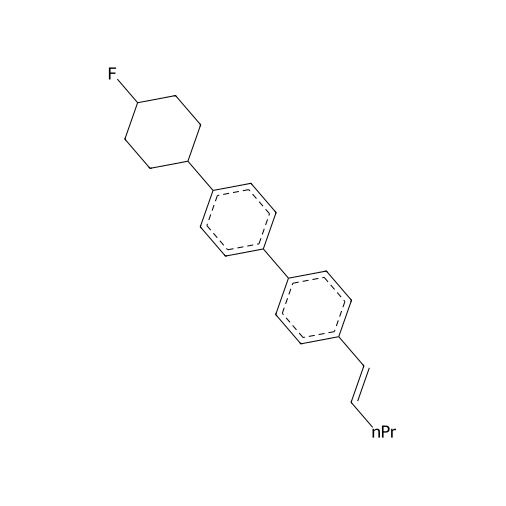 CCC/C=C/c1ccc(-c2ccc(C3CCC(F)CC3)cc2)cc1